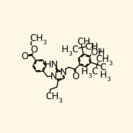 CCCc1cn(CC(=O)c2cc(C(C)(C)C)c(O)c(C(C)(C)C)c2)c(=N)n1Cc1ccc(C(=O)OCC)cc1